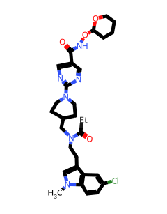 CCC(=O)N(CCc1cn(C)c2ccc(Cl)cc12)CC1CCN(c2ncc(C(=O)NOC3CCCCO3)cn2)CC1